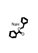 O=C(OCc1ccccc1)c1ccccc1.[NaH]